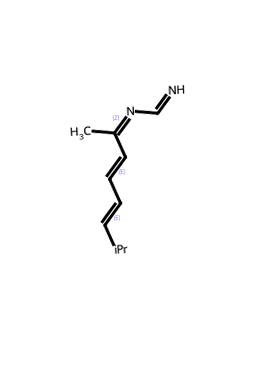 CC(/C=C/C=C/C(C)C)=N/C=N